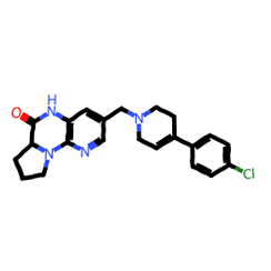 O=C1Nc2cc(CN3CC=C(c4ccc(Cl)cc4)CC3)cnc2N2CCCC12